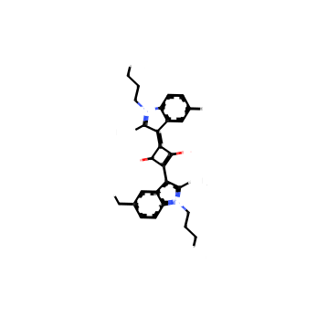 CCCCn1c(C)c(C2=C(O)/C(=C3/C(C)=[N+](CCCC)c4ccc(C)cc43)C2O)c2cc(CC)ccc21